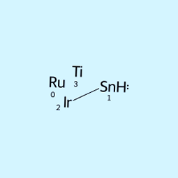 [Ru].[SnH][Ir].[Ti]